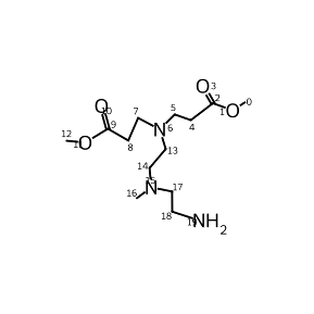 COC(=O)CCN(CCC(=O)OC)CCN(C)CCN